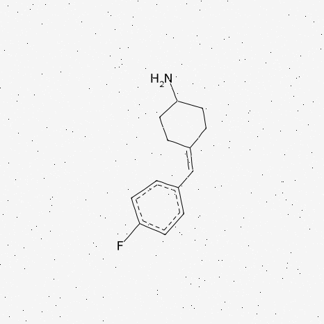 NC1CCC(=Cc2ccc(F)cc2)CC1